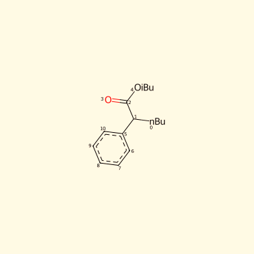 CCCCC(C(=O)OCC(C)C)c1ccccc1